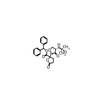 CP(C)(=O)N[C@H]1CON(C2(C(=O)OC(c3ccccc3)c3ccccc3)CCC(=O)O2)C1=O